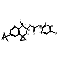 CC1(c2ccc3c(c2)C2(CC2)CN(CC(=O)Nc2ncc(F)cn2)C3=O)CC1